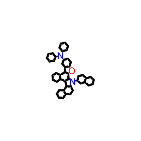 c1ccc(N(c2ccccc2)c2ccc3oc4c(c3c2)c2ccccc2c2c3c5ccccc5ccc3n(-c3ccc5ccccc5c3)c42)cc1